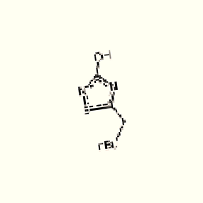 CCCCCc1nc(O)ns1